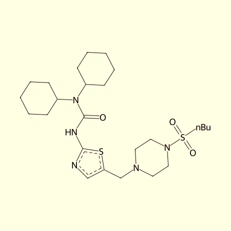 CCCCS(=O)(=O)N1CCN(Cc2cnc(NC(=O)N(C3CCCCC3)C3CCCCC3)s2)CC1